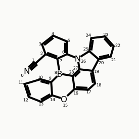 N#Cc1cccc2c1B1c3ccccc3Oc3ccc4c5ccccc5n-2c4c31